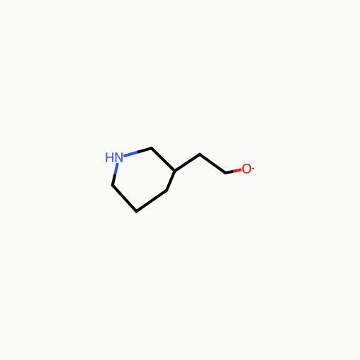 [O]CCC1CCCNC1